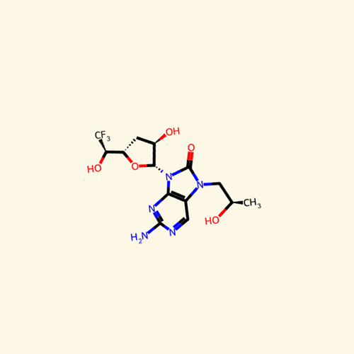 C[C@@H](O)Cn1c(=O)n([C@@H]2O[C@H]([C@@H](O)C(F)(F)F)C[C@H]2O)c2nc(N)ncc21